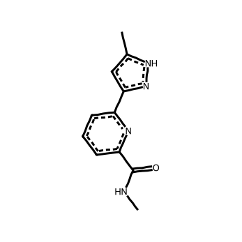 CNC(=O)c1cccc(-c2cc(C)[nH]n2)n1